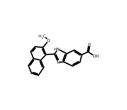 COc1ccc2ccccc2c1-c1nc2ccc(C(=O)O)cc2[nH]1